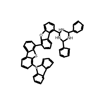 c1ccc(C2NC(c3ccccc3)NC(c3cccc4oc5c(-c6cccc7c6sc6c(-n8c9ccccc9c9ccccc98)cccc67)cccc5c34)N2)cc1